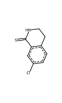 S=C1NCCc2ccc(Cl)cc21